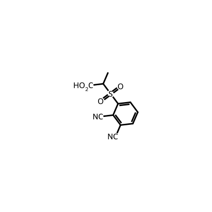 CC(C(=O)O)S(=O)(=O)c1cccc(C#N)c1C#N